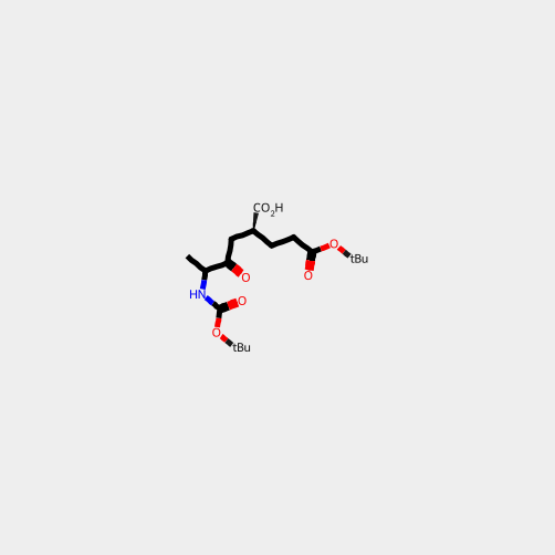 CC(NC(=O)OC(C)(C)C)C(=O)C[C@H](CCC(=O)OC(C)(C)C)C(=O)O